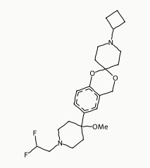 COC1(c2ccc3c(c2)COC2(CCN(C4CCC4)CC2)O3)CCN(CC(F)F)CC1